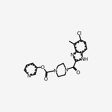 Cc1c(Cl)ccc2[nH]c(C(=O)N3CCN(C(=O)Oc4cccnc4)CC3)nc12